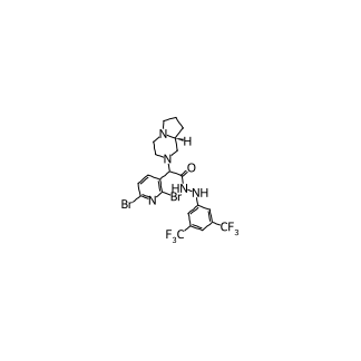 O=C(NNc1cc(C(F)(F)F)cc(C(F)(F)F)c1)C(c1ccc(Br)nc1Br)N1CCN2CCC[C@@H]2C1